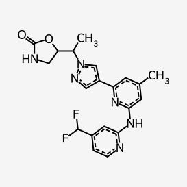 Cc1cc(Nc2cc(C(F)F)ccn2)nc(-c2cnn(C(C)C3CNC(=O)O3)c2)c1